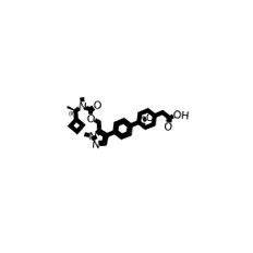 C[C@H](C1CCC1)N(C)C(=O)OCc1c(-c2ccc(C34CCC(CC(=O)O)(CC3)OC4)cc2)cnn1C